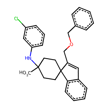 O=C(O)C1(Nc2cccc(Cl)c2)CCC2(CC1)C(COCc1ccccc1)=Cc1ccccc12